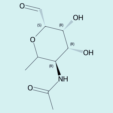 CC(=O)N[C@H]1C(C)O[C@H](C=O)[C@H](O)[C@@H]1O